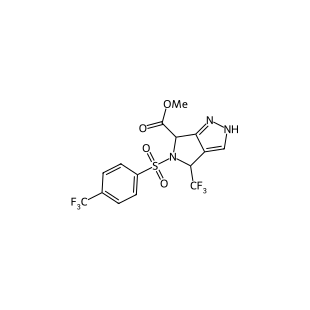 COC(=O)C1c2n[nH]cc2C(C(F)(F)F)N1S(=O)(=O)c1ccc(C(F)(F)F)cc1